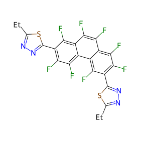 CCc1nnc(-c2c(F)c(F)c3c(c2F)c(F)c(F)c2c(F)c(F)c(-c4nnc(CC)s4)c(F)c23)s1